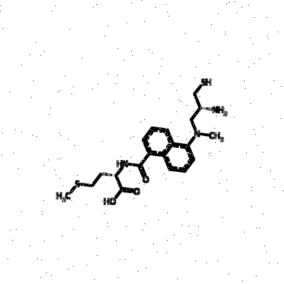 CSCC[C@H](NC(=O)c1cccc2c(N(C)C[C@@H](N)CS)cccc12)C(=O)O